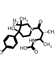 CC(NC(=O)O)[C@@H](C)C(=O)N1CC[C@](O)(c2ccc(Cl)cc2)C(C)(C)C1